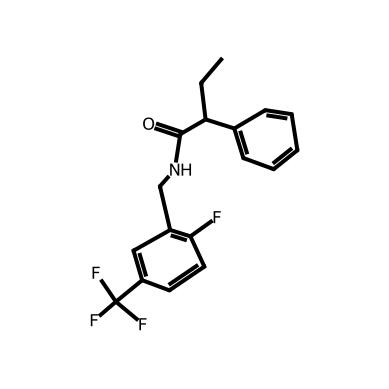 CCC(C(=O)NCc1cc(C(F)(F)F)ccc1F)c1ccccc1